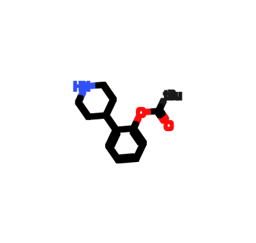 CC(C)(C)C(=O)Oc1ccccc1C1CCNCC1